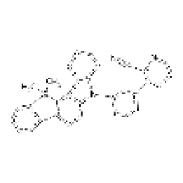 CS1(C)c2ccccc2-c2ccc3c(c21)c1ccccc1n3-c1cccc(-c2cccnc2C#N)c1